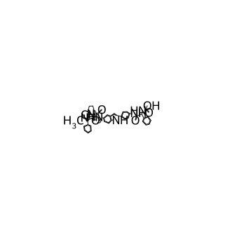 CN(C)[C@@H](C(=O)N1CCC[C@@H]1C(=O)Nc1ccc2[nH]c(-c3ccc(NC(=O)[C@@H](NC(=O)O)c4ccccc4)cc3)cc2c1)c1ccccc1